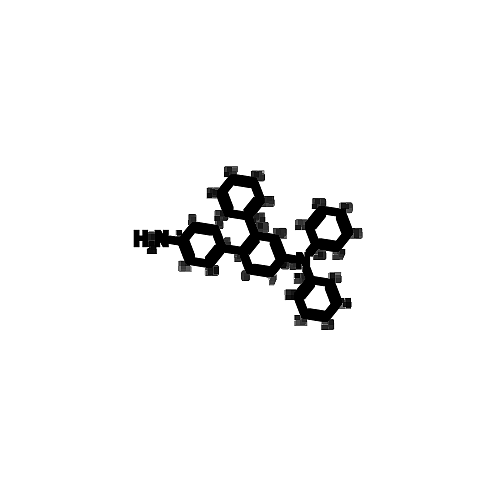 Nc1ccc(-c2ccc(N(c3ccccc3)c3ccccc3)cc2-c2ccccc2)cc1